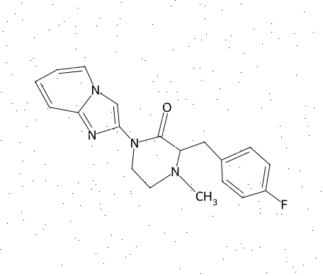 CN1CCN(c2cn3ccccc3n2)C(=O)C1Cc1ccc(F)cc1